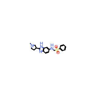 CN1CCC(c2nc3ccc(NCS(=O)(=O)c4ccccc4)cc3[nH]2)C1